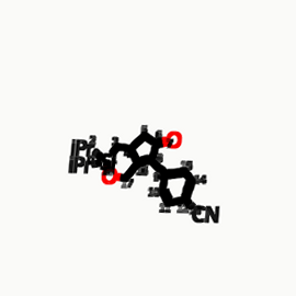 CC(C)[Si]1(C(C)C)CC2CC(=O)C(c3ccc(C#N)cc3)=C2CO1